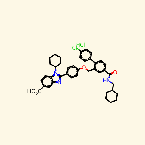 Cl.O=C(O)c1ccc2c(c1)nc(-c1ccc(OCc3cc(C(=O)NCC4CCCCC4)ccc3-c3ccc(Cl)cc3)cc1)n2C1CCCCC1